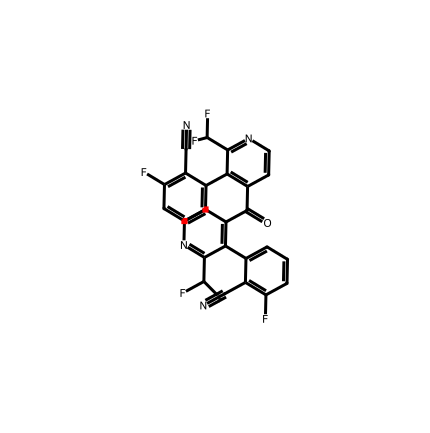 N#Cc1c(F)cccc1-c1c(C(=O)c2ccnc(C(F)F)c2-c2cccc(F)c2C#N)ccnc1C(F)F